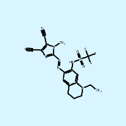 CCN1CCCc2cc(/N=N/c3nc(C#N)c(C#N)n3C)c(NS(=O)(=O)C(F)(F)F)cc21